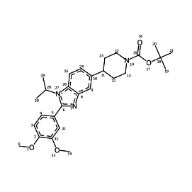 COc1ccc(-c2nc3cc(C4CCN(C(=O)OC(C)(C)C)CC4)ccc3n2C(C)C)cc1OC